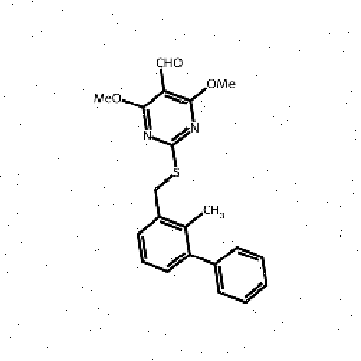 COc1nc(SCc2cccc(-c3ccccc3)c2C)nc(OC)c1C=O